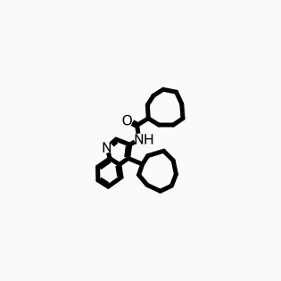 O=C(Nc1cnc2ccccc2c1C1CCCCCCCC1)C1CCCCCCCC1